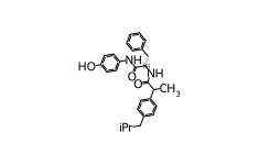 CC(C)Cc1ccc(C(C)C(=O)N[C@@H](Cc2ccccc2)C(=O)Nc2ccc(O)cc2)cc1